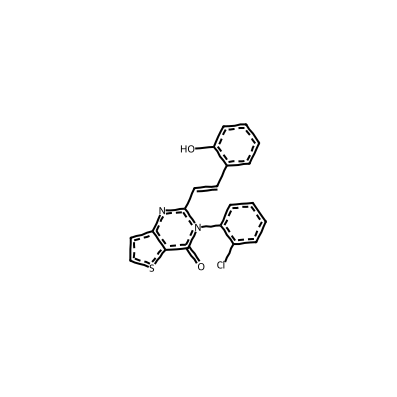 O=c1c2sccc2nc(/C=C/c2ccccc2O)n1-c1ccccc1Cl